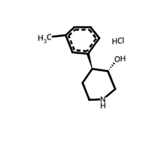 Cc1cccc([C@@H]2CCNC[C@H]2O)c1.Cl